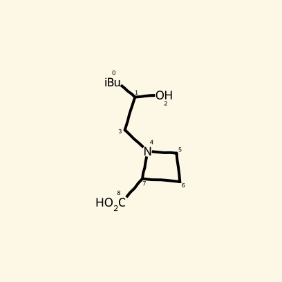 CCC(C)C(O)CN1CCC1C(=O)O